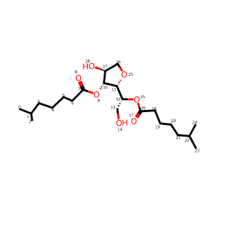 CC(C)CCCCC(=O)O[C@H]1[C@@H]([C@@H](CO)OC(=O)CCCCC(C)C)OC[C@@H]1O